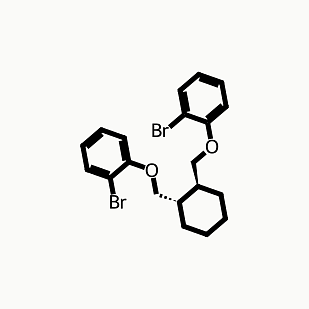 Brc1ccccc1OC[C@H]1CCCC[C@@H]1COc1ccccc1Br